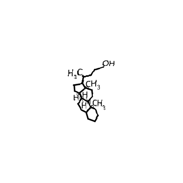 CC(CCCO)C1CC[C@H]2[C@@H]3CCC4CCCC[C@]4(C)[C@@H]3CC[C@]12C